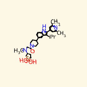 Cc1cc(-c2[nH]c3ccc(C4CCN(C(=O)CN(C)C5CCS(O)(O)C5)CC4)cc3c2C(C)C)cc(C)n1